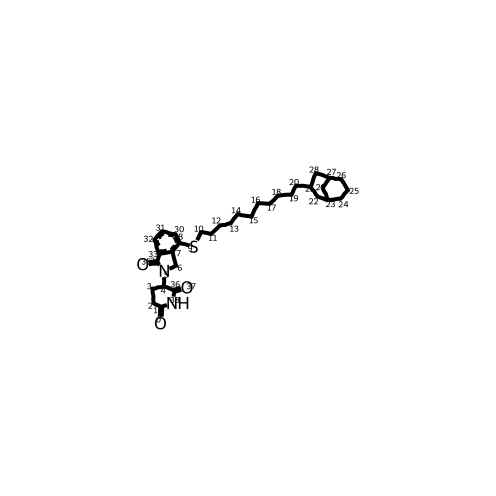 O=C1CCC(N2Cc3c(SCCCCCCCCCCCC4CC5CCCC(C4)C5)cccc3C2=O)C(=O)N1